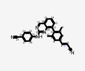 Cc1cc(/C=C/C#N)cc(C)c1-c1cccc2cnc(Nc3ccc(C#N)cc3)nc12